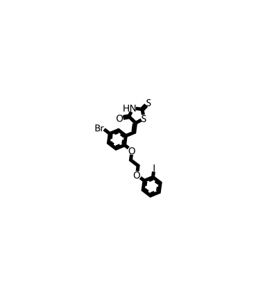 O=C1NC(=S)SC1=Cc1cc(Br)ccc1OCCOc1ccccc1I